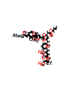 C=CCOC(=O)C[C@H]1C[C@@H](C[C@H]2CCC[C@@H](C[C@@H](O)CC(=O)O[C@H](CC)CO)O2)O[C@@H](/C=C/C(C)(C)[C@]2(O)OCC/C(=C\C(=O)OC)[C@@H]2OC(C)=O)O1